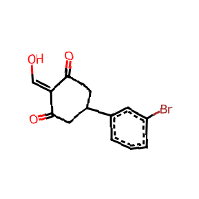 O=C1CC(c2cccc(Br)c2)CC(=O)C1=CO